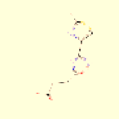 Cc1nc(-c2noc(CCC(=O)O)n2)cs1